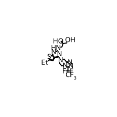 CCc1cc2c(N3CCn4c(nnc4C(F)(F)C(F)(F)F)C3)nc(NCC(O)CO)nc2s1